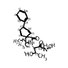 C[C@@H](O)[C@H](NC(=O)C1(N(C)C)C=CC(c2ccccc2)C=C1)C(=O)NO